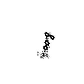 CC(C)(O)C(C)(C)OBc1ccc2c(c1)oc1cc3oc(-c4cccc5oc6ccccc6c45)nc3cc12